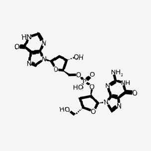 Nc1nc2c(ncn2[C@@H]2O[C@H](CO)C[C@H]2OP(=O)(O)OC[C@H]2O[C@@H](n3cnc4c(=O)[nH]cnc43)C[C@@H]2O)c(=O)[nH]1